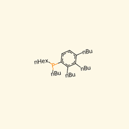 CCCCCCP(CCCC)c1ccc(CCCC)c(CCCC)c1CCCC